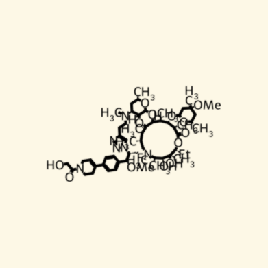 CC[C@H]1OC(=O)[C@H](C)[C@@H](OC2C[C@@](C)(OC)C[C@H](C)O2)[C@H](C)[C@H]2OC3O[C@H](C)C[C@H](N(C)CCc4cn([C@H](CF)[C@H](OC)c5ccc(C6=CCN(C(=O)CO)CC6)cc5)nn4)[C@H]3O[C@]2(C)C[C@@H](C)CN(C)[C@H](C)[C@@H](O)[C@]1(C)O